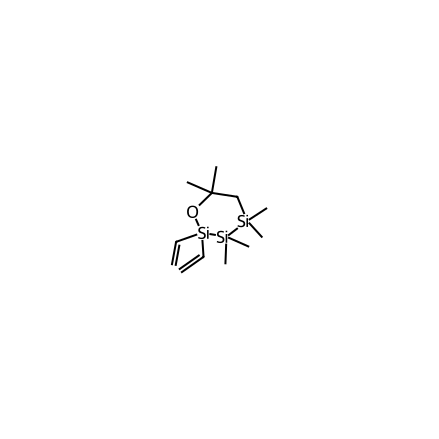 C=C[Si]1(C=C)OC(C)(C)C[Si](C)(C)[Si]1(C)C